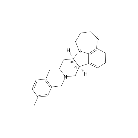 Cc1ccc(C)c(CN2CC[C@@H]3[C@H](C2)c2cccc4c2N3CCCS4)c1